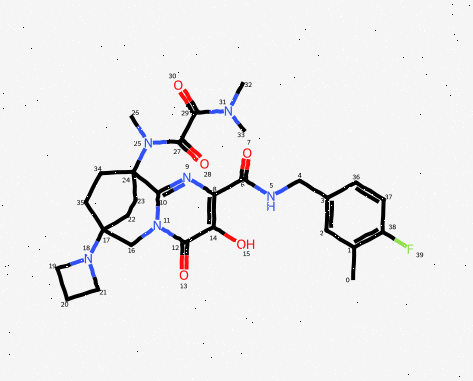 Cc1cc(CNC(=O)c2nc3n(c(=O)c2O)CC2(N4CCC4)CCC3(N(C)C(=O)C(=O)N(C)C)CC2)ccc1F